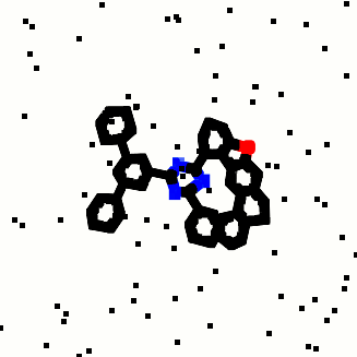 c1ccc(-c2cc(-c3ccccc3)cc(-c3nc(-c4ccccc4)nc(-c4cccc5oc6cc7ccc8ccccc8c7cc6c45)n3)c2)cc1